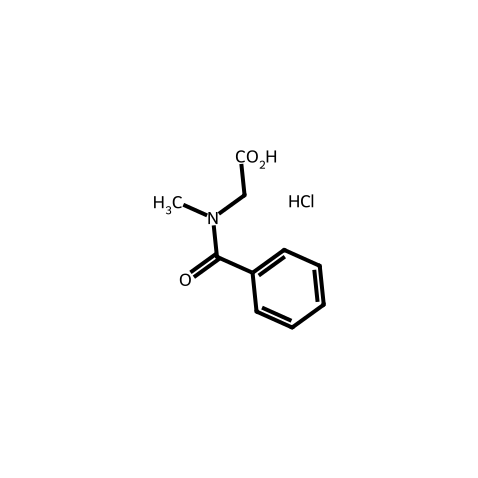 CN(CC(=O)O)C(=O)c1ccccc1.Cl